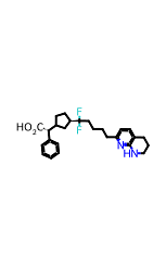 O=C(O)[C@@H](c1ccccc1)C1CC[C@@H](C(F)(F)CCCCc2ccc3c(n2)NCCC3)C1